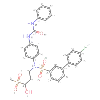 CS(=O)(=O)C(O)CCN(c1ccc(NC(=O)Nc2ccccc2)cc1)S(=O)(=O)c1cccc(-c2ccc(F)cc2)c1